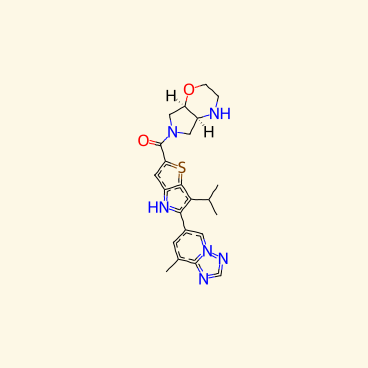 Cc1cc(-c2[nH]c3cc(C(=O)N4C[C@@H]5NCCO[C@@H]5C4)sc3c2C(C)C)cn2ncnc12